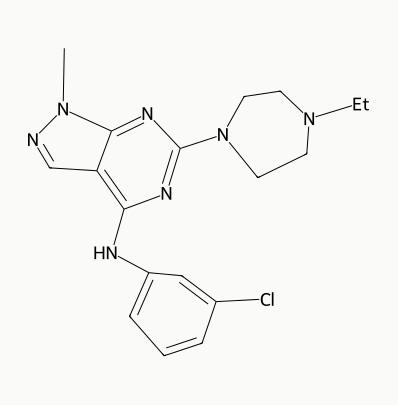 CCN1CCN(c2nc(Nc3cccc(Cl)c3)c3cnn(C)c3n2)CC1